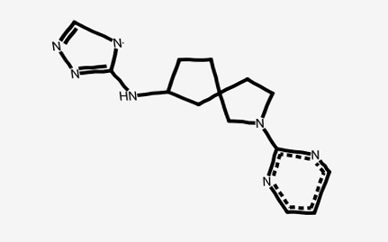 C1=NN=C(NC2CCC3(CCN(c4ncccn4)C3)C2)[N]1